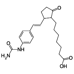 NC(=O)Nc1ccc(C=CC2CCC(=O)C2CCCCCCC(=O)O)cc1